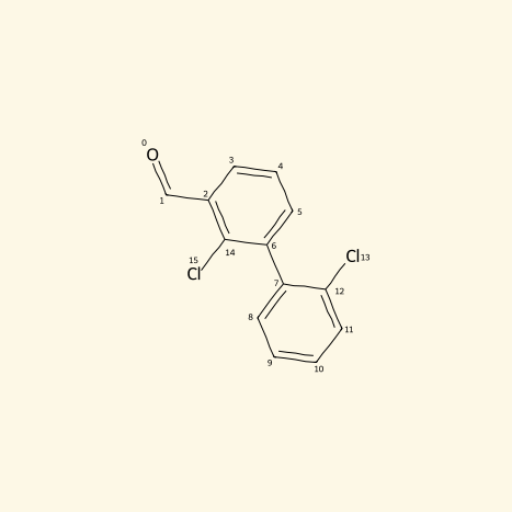 O=Cc1cccc(-c2ccccc2Cl)c1Cl